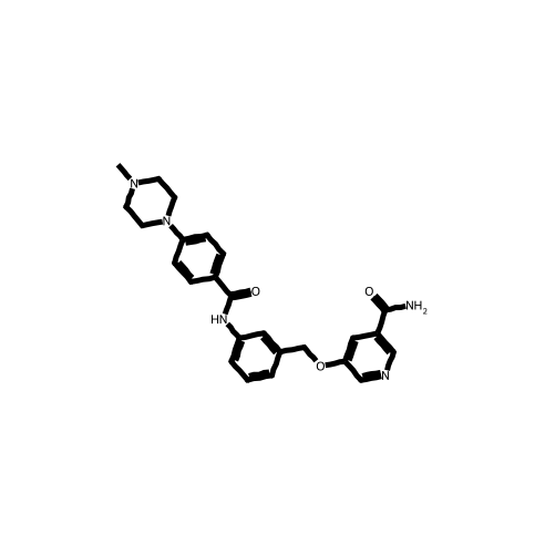 CN1CCN(c2ccc(C(=O)Nc3cccc(COc4cncc(C(N)=O)c4)c3)cc2)CC1